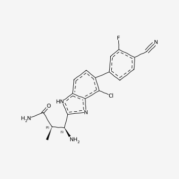 C[C@@H](C(N)=O)[C@H](N)c1nc2c(Cl)c(-c3ccc(C#N)c(F)c3)ccc2[nH]1